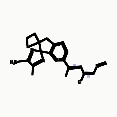 C=N/C=C(Cl)\C=C(/C)c1ccc2c(c1)C1(N=C(C)C(N)=N1)C1(CCC1)C2